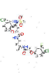 C=C(CCNC(=O)[C@H]1C[C@H](NS(C)(=O)=O)c2cc(Cl)ccc2O1)NC(=O)COc1ccc(Cl)c(F)c1